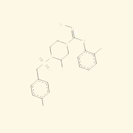 Cc1ccccc1N/C(=N/C#N)N1CCN(S(=O)(=O)Cc2ccc(Cl)cc2)C(C(C)C)C1